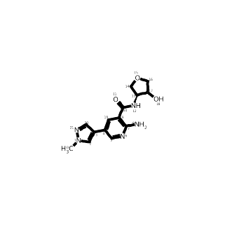 Cn1cc(-c2cnc(N)c(C(=O)N[C@H]3COCC3O)c2)cn1